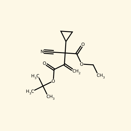 C=C(C(=O)OC(C)(C)C)C(C#N)(C(=O)OCC)C1CC1